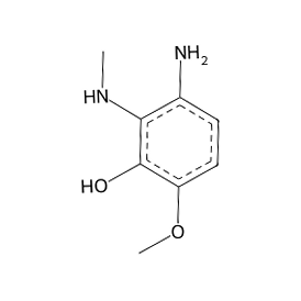 CNc1c(N)ccc(OC)c1O